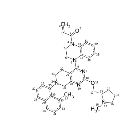 C=CC(=O)N1CCN(c2nc(OC[C@@H]3CCCN3C)nc3c2CCN(c2cccc4cccc(C)c24)C3)c2ccccc21